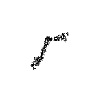 CC(C)(c1ccc(OCc2ccnc(N3CCC4(CC3)CN(C3CCN(C5CN(c6ccc7c(c6)C(=O)N(C6CCC(=O)NC6=O)C7=O)C5)CC3)C4)n2)cc1)c1cc(Cl)cc(C#N)c1